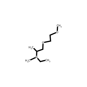 CCN(C)C(C)COCCOC